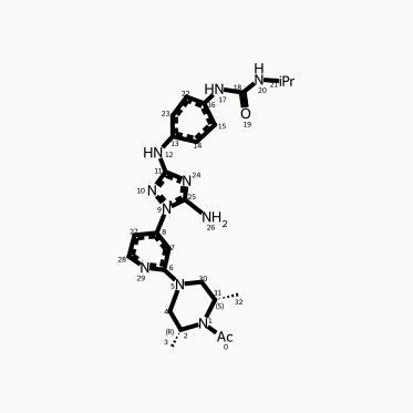 CC(=O)N1[C@H](C)CN(c2cc(-n3nc(Nc4ccc(NC(=O)NC(C)C)cc4)nc3N)ccn2)C[C@@H]1C